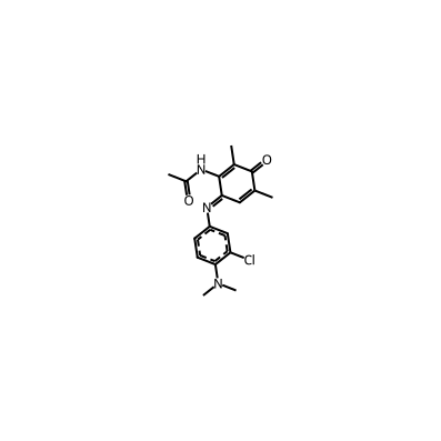 CC(=O)NC1=C(C)C(=O)C(C)=CC1=Nc1ccc(N(C)C)c(Cl)c1